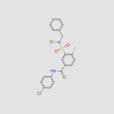 O=C(Nc1ccc(Cl)cc1)c1ccc(F)c(S(=O)(=O)N(Cl)Cc2ccccc2)c1